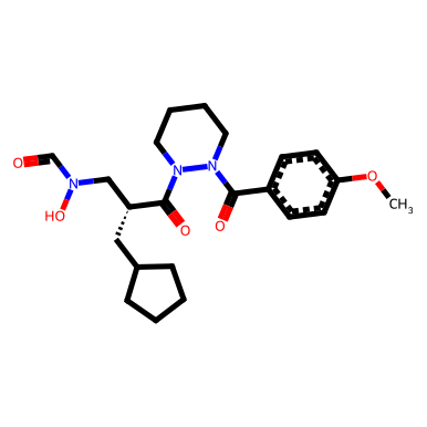 COc1ccc(C(=O)N2CCCCN2C(=O)[C@H](CC2CCCC2)CN(O)C=O)cc1